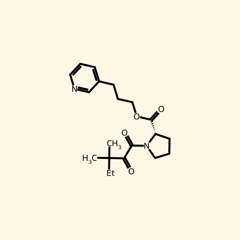 CCC(C)(C)C(=O)C(=O)N1CCC[C@H]1C(=O)OCCCc1cccnc1